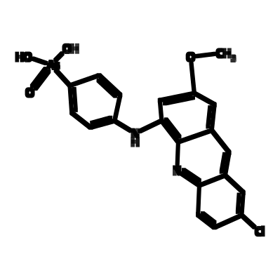 COc1cc(Nc2ccc([As](=O)(O)O)cc2)c2nc3ccc(Cl)cc3cc2c1